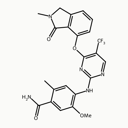 COc1cc(C(N)=O)c(C)cc1Nc1ncc(C(F)(F)F)c(Oc2cccc3c2C(=O)N(C)C3)n1